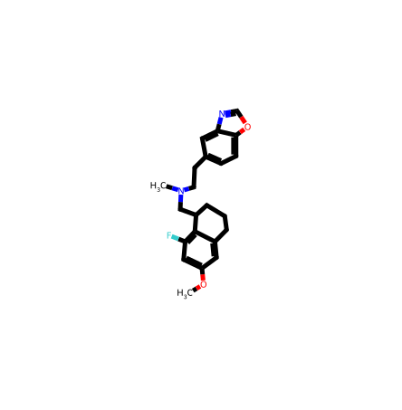 COc1cc(F)c2c(c1)CCCC2CN(C)CCc1ccc2ocnc2c1